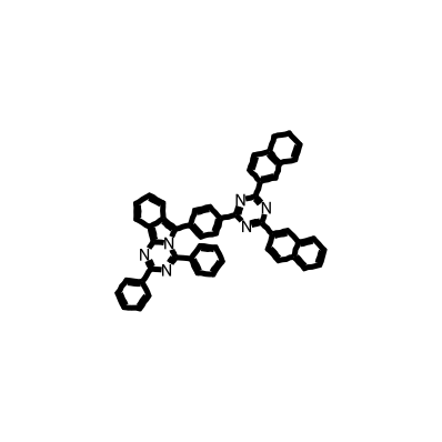 C1=Cc2cc(-c3nc(-c4ccc(-c5c6ccccc6c6nc(-c7ccccc7)nc(-c7ccccc7)n56)cc4)nc(-c4ccc5ccccc5c4)n3)ccc2CC1